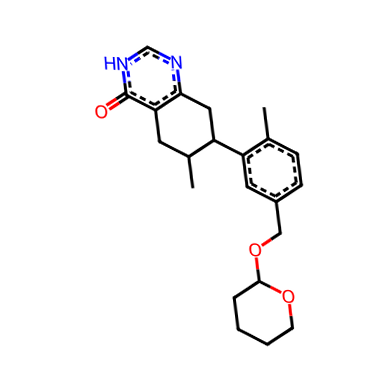 Cc1ccc(COC2CCCCO2)cc1C1Cc2nc[nH]c(=O)c2CC1C